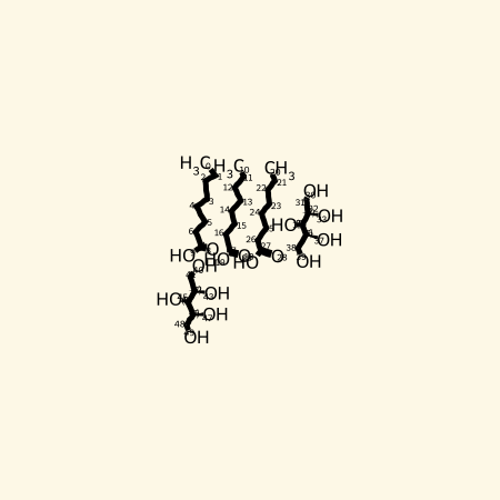 CCCCCCCC(=O)O.CCCCCCCC(=O)O.CCCCCCCC(=O)O.OC[C@@H](O)[C@H](O)[C@@H](O)CO.OC[C@@H](O)[C@H](O)[C@@H](O)CO